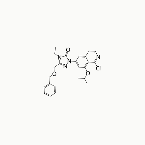 CCn1c(COCc2ccccc2)nn(-c2cc(OC(C)C)c3c(Cl)nccc3c2)c1=O